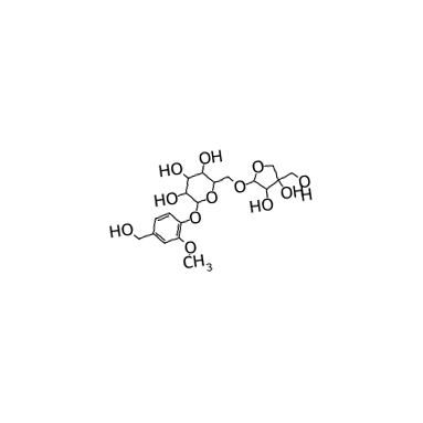 COc1cc(CO)ccc1OC1OC(COC2OCC(O)(CO)C2O)C(O)C(O)C1O